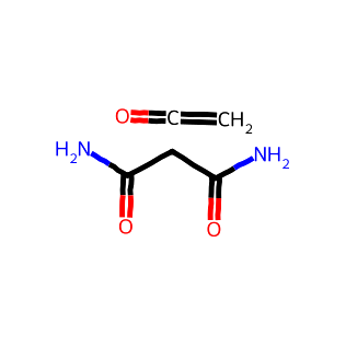 C=C=O.NC(=O)CC(N)=O